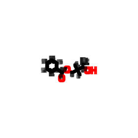 CCC(O)C(C)(C)COC(=O)c1ccccc1